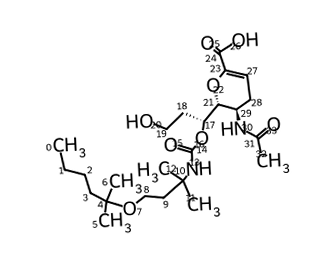 CCCCC(C)(C)OCCC(C)(C)NC(=O)O[C@H](CCO)[C@@H]1OC(C(=O)O)=CC[C@H]1NC(C)=O